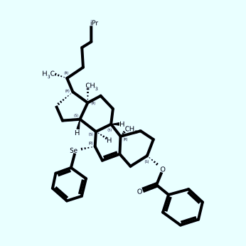 CC(C)CCC[C@@H](C)[C@H]1CC[C@H]2[C@@H]3[C@@H]([Se]c4ccccc4)C=C4C[C@@H](OC(=O)c5ccccc5)CC[C@]4(C)[C@H]3CC[C@]12C